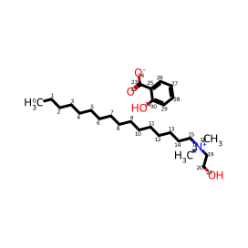 CCCCCCCCCCCCCCCC[N+](C)(C)CCO.O=C([O-])c1ccccc1O